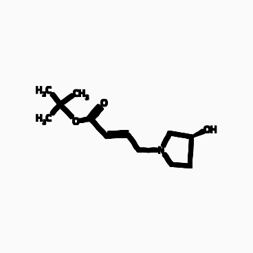 CC(C)(C)OC(=O)C=CCN1CC[C@H](O)C1